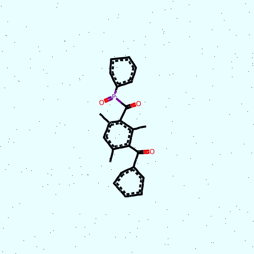 Cc1cc(C)c(C(=O)[P](=O)c2ccccc2)c(C)c1C(=O)c1ccccc1